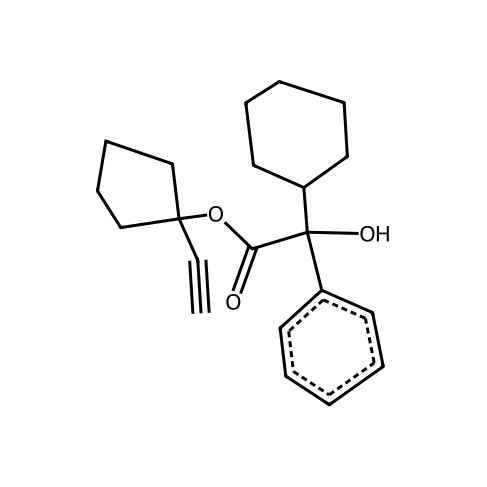 C#CC1(OC(=O)C(O)(c2ccccc2)C2CCCCC2)CCCC1